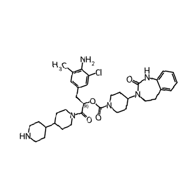 Cc1cc(C[C@@H](OC(=O)N2CCC(N3CCc4ccccc4NC3=O)CC2)C(=O)N2CCC(C3CCNCC3)CC2)cc(Cl)c1N